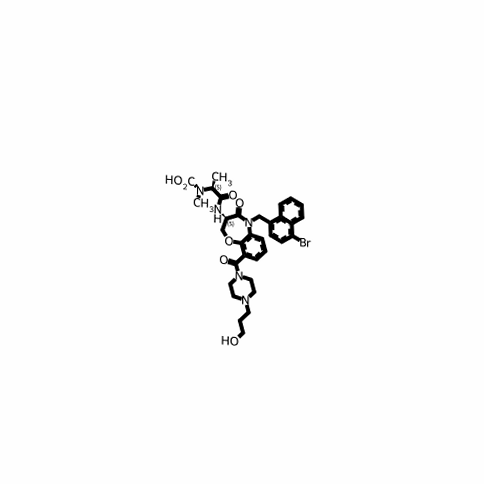 C[C@@H](C(=O)N[C@H]1COc2c(C(=O)N3CCN(CCCO)CC3)cccc2N(Cc2ccc(Br)c3ccccc23)C1=O)N(C)C(=O)O